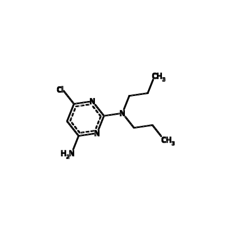 CCCN(CCC)c1nc(N)cc(Cl)n1